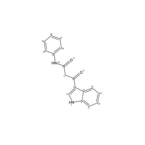 O=C(CC(=O)c1c[nH]c2ccccc12)Nc1ccccc1